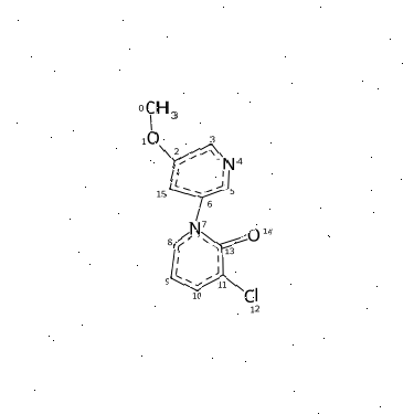 COc1cncc(-n2cccc(Cl)c2=O)c1